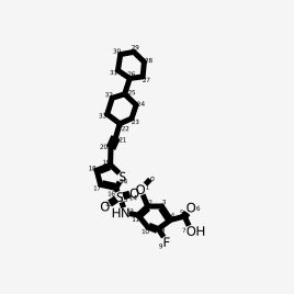 COc1cc(C(=O)O)c(F)cc1NS(=O)(=O)c1ccc(C#CC2CCC(C3CCCCC3)CC2)s1